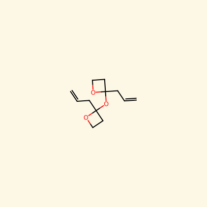 C=CCC1(OC2(CC=C)CCO2)CCO1